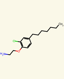 CCCCCCCc1ccc(OCCN)c(Cl)c1